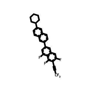 Fc1cc2cc(-c3ccc4cc(C5CCCCC5)ccc4c3)cc(F)c2c(F)c1C#CC(F)(F)F